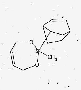 C[Si]1(C2CC3C=CC2CC3)OCC=CCO1